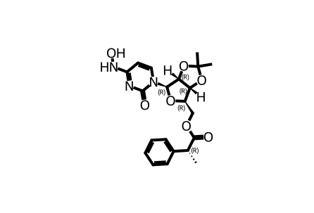 C[C@@H](C(=O)OC[C@H]1O[C@@H](n2ccc(NO)nc2=O)[C@@H]2OC(C)(C)O[C@@H]21)c1ccccc1